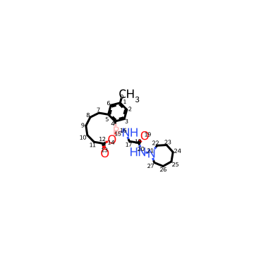 Cc1ccc2c(c1)CCCCCC(=O)OB2NCC(=O)NN1CCCCCC1